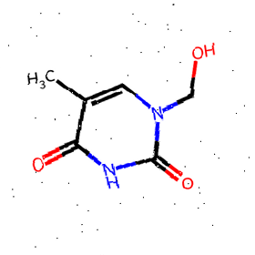 Cc1cn(CO)c(=O)[nH]c1=O